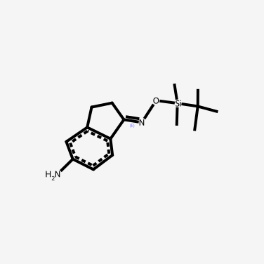 CC(C)(C)[Si](C)(C)O/N=C1\CCc2cc(N)ccc21